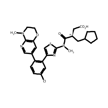 CN1CCOc2cc(-c3ccc(Cl)cc3-c3csc(N(C)C(=O)[C@@H](CC(=O)O)CC4CCCC4)n3)cnc21